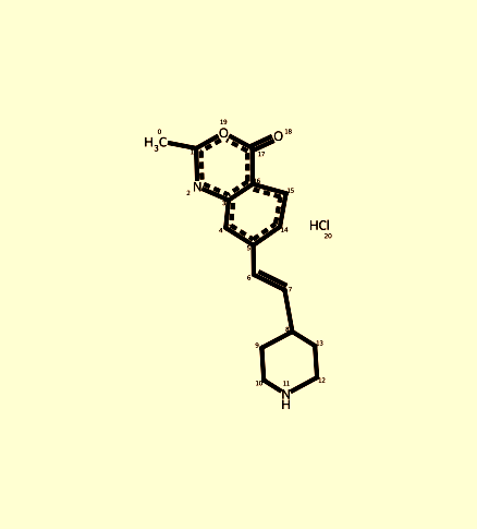 Cc1nc2cc(/C=C/C3CCNCC3)ccc2c(=O)o1.Cl